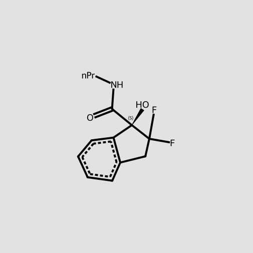 CCCNC(=O)[C@@]1(O)c2ccccc2CC1(F)F